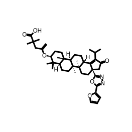 C=C(CC(C)(C)C(=O)O)O[C@H]1CC[C@]2(C)[C@H]3CC[C@@H]4C5=C(C(C)C)C(=O)C[C@]5(c5nnc(-c6ccco6)o5)CC[C@@]4(C)[C@@]3(C)CC[C@H]2C1(C)C